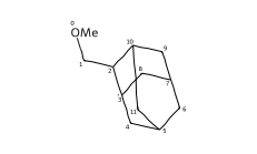 COCC1[C]2CC3CC(C2)CC1C3